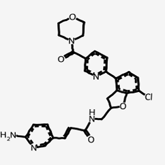 Nc1ccc(/C=C/C(=O)NCC2Cc3c(-c4ccc(C(=O)N5CCOCC5)cn4)ccc(Cl)c3O2)cn1